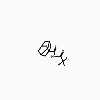 CCC(C)(C)C(=O)NC(=O)C12CC3CC(CC(C3)C1)C2